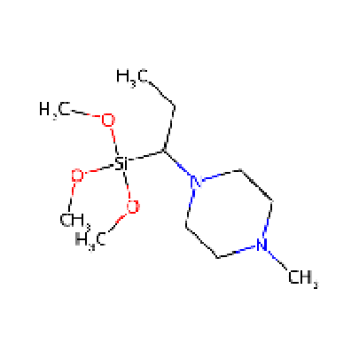 CCC(N1CCN(C)CC1)[Si](OC)(OC)OC